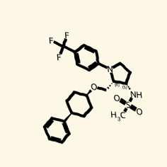 CS(=O)(=O)N[C@H]1CCN(c2ccc(C(F)(F)F)cc2)[C@H]1CO[C@H]1CC[C@@H](c2ccccc2)CC1